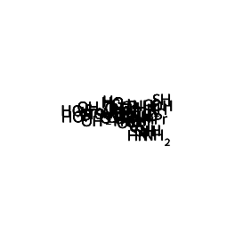 CC(C)CC(NC(=O)CNC(=O)C(O)CS)C(=O)NC(CCCNC(=N)N)C(=O)NC(CCC(N)=O)C(=O)NC(Cc1ccc(O)cc1)C(=O)NC(=O)C(CC(=O)O)NC(=O)C(CO)NC(C)C(=O)NC(C=O)NC(=O)c1ccc(CCS[C@@H]2O[C@H](CO)[C@H](O)[C@H](O)[C@H]2O)cc1